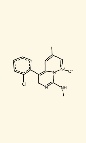 CNC1=NCC(c2ccccc2Cl)=C2C=C(C)C=[N+]([O-])N12